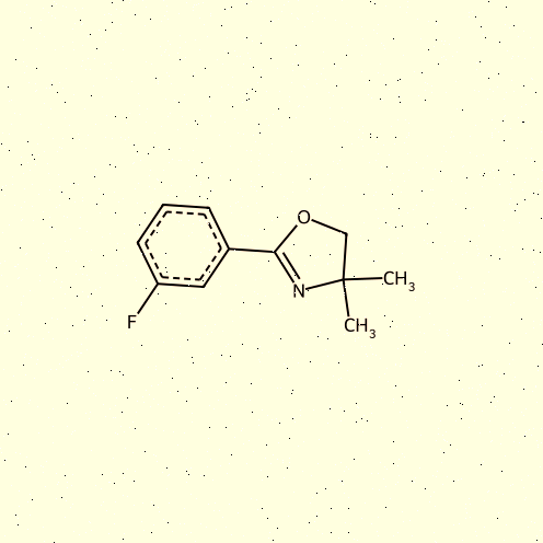 CC1(C)COC(c2cccc(F)c2)=N1